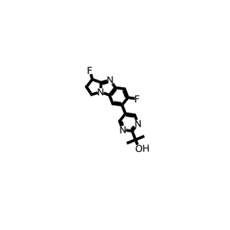 CC(C)(O)c1ncc(-c2cc3c(cc2F)nc2n3CCC2F)cn1